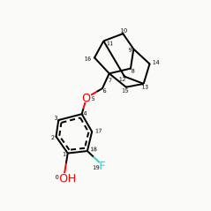 Oc1ccc(OCC23CC4CC(CC(C4)C2)C3)cc1F